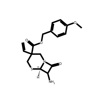 C=CC1(C(=O)OCc2ccc(OC)cc2)CS[C@@H]2C(N)C(=O)N2C1